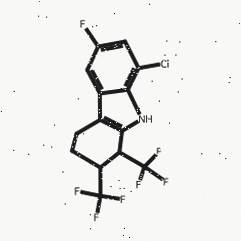 Fc1cc(Cl)c2[nH]c3c(c2c1)CCC(C(F)(F)F)C3C(F)(F)F